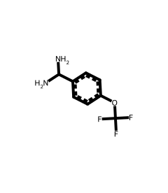 NC(N)c1ccc(OC(F)(F)F)cc1